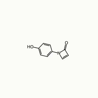 O=C1C=CN1c1ccc(O)cc1